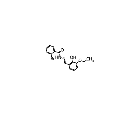 CCOc1cccc(C=NNC(=O)c2ccccc2Br)c1O